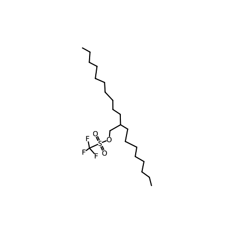 CCCCCCCCCCC(CCCCCCCC)COS(=O)(=O)C(F)(F)F